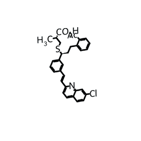 CC(=O)c1ccccc1CC[C@H](SC[C@@H](C)C(=O)O)c1cccc(C=Cc2ccc3ccc(Cl)cc3n2)c1